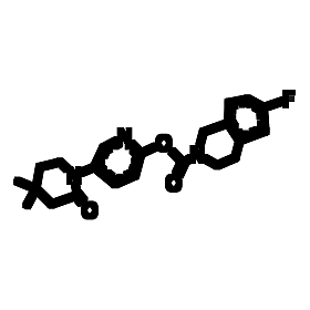 CC1(C)CCN(c2ccc(OC(=O)N3CCc4cc(F)ccc4C3)nc2)C(=O)C1